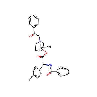 Cc1ccc(C(NC(=O)c2ccccc2)C(=O)O[C@H]2C[N+]3(CC(=O)c4ccccc4)CCC2CC3)cc1